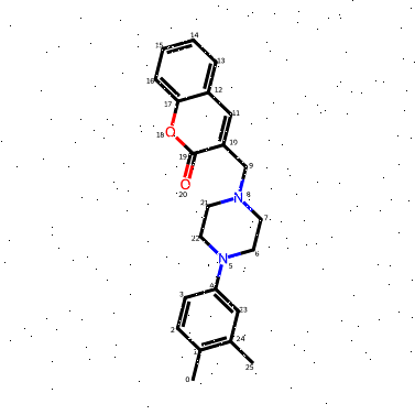 Cc1ccc(N2CCN(Cc3cc4ccccc4oc3=O)CC2)cc1C